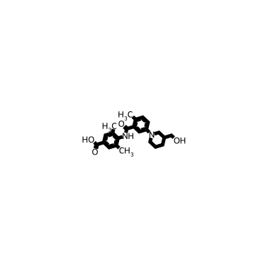 Cc1ccc(N2CCCC(CO)C2)cc1C(=O)Nc1c(C)cc(C(=O)O)cc1C